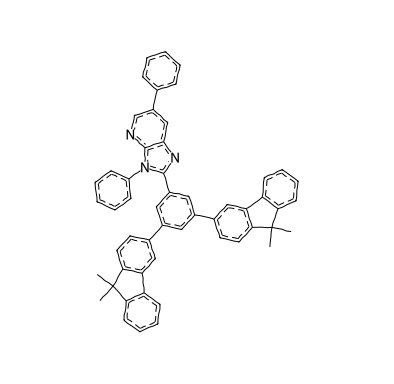 CC1(C)c2ccccc2-c2cc(-c3cc(-c4ccc5c(c4)-c4ccccc4C5(C)C)cc(-c4nc5cc(-c6ccccc6)cnc5n4-c4ccccc4)c3)ccc21